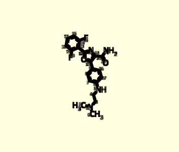 CN(C)CCNc1ccc(-c2oc(-c3c(F)cccc3F)nc2C(N)=O)cc1